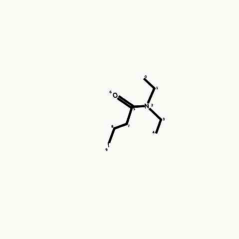 CCN(CC)C(=O)CCI